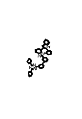 c1ccc(-c2nc(-c3ccccc3)nc(-c3cccc(-c4cccc(-c5nc6cccc7c6n5-c5ccccc5-c5nc6ccccc6cc5-7)c4)c3)n2)cc1